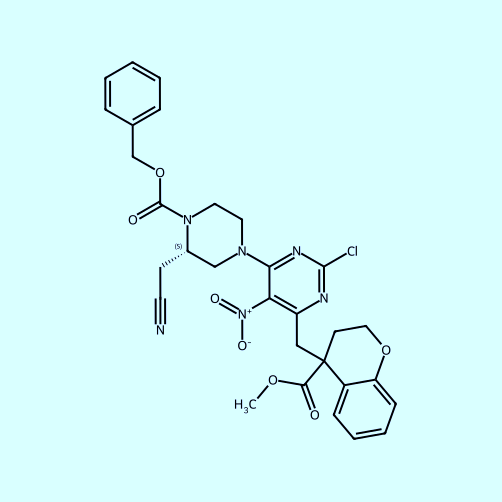 COC(=O)C1(Cc2nc(Cl)nc(N3CCN(C(=O)OCc4ccccc4)[C@@H](CC#N)C3)c2[N+](=O)[O-])CCOc2ccccc21